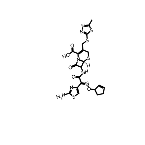 Cc1nnc(SCC2=C(C(=O)O)N3C(=O)C(NC(=O)C(=NOC4C=CCC4)c4csc(N)n4)[C@@H]3SC2)s1